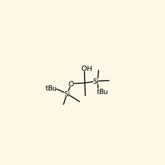 CC(C)(C)[Si](C)(C)OC(C)(O)[Si](C)(C)C(C)(C)C